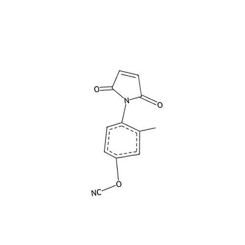 Cc1cc(OC#N)ccc1N1C(=O)C=CC1=O